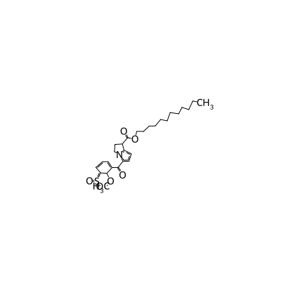 CCCCCCCCCCCCOC(=O)C1CCn2c(C(=O)C3=CC=CC(=S(=O)=O)C3OC)ccc21